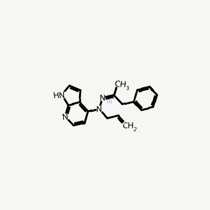 C=CCN(/N=C(/C)Cc1ccccc1)c1ccnc2[nH]ccc12